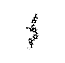 C=CC(=O)CC1CCN(CCn2c(C#N)cc3cc(CN4CCC(Nc5ncnc6sc(CC(F)(F)F)cc56)CC4)ccc32)CC1